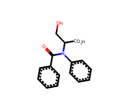 O=C(O)C(CO)N(C(=O)c1ccccc1)c1ccccc1